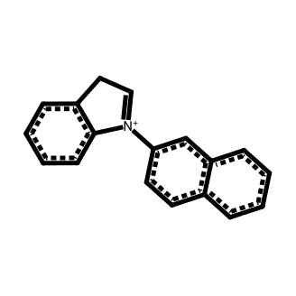 C1=[N+](c2ccc3ccccc3c2)c2ccccc2C1